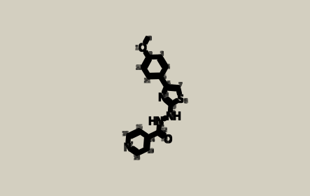 COc1ccc(-c2csc(NNC(=O)c3ccncc3)n2)cc1